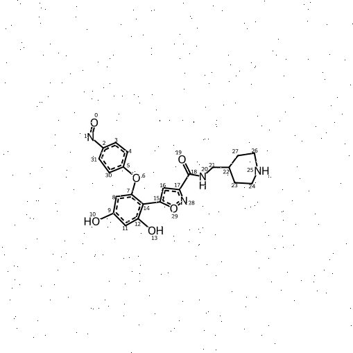 O=Nc1ccc(Oc2cc(O)cc(O)c2-c2cc(C(=O)NCC3CCNCC3)no2)cc1